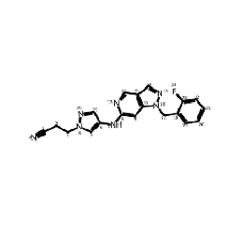 N#CCCn1cc(Nc2cc3c(cn2)cnn3Cc2ccccc2F)cn1